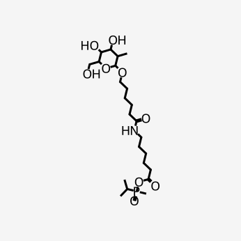 CC1C(OCCCCCC(=O)NCCCCCC(=O)OP(C)(=O)C(C)C)OC(CO)C(O)C1O